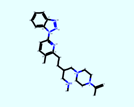 C=C(C)N1CCN(CC(CCc2nc(-n3nnc4ccccc43)ccc2C)CNC)CC1